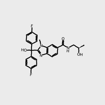 C[C@@H](O)CNC(=O)c1ccc2nc(C(O)(c3ccc(F)cc3)c3ccc(F)cc3)n(C)c2c1